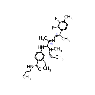 C/C=C\N(C)C(Nc1ccc(C(=O)NCCC)c(CC)c1)/C(C)=N/C=C(\C)c1ccc(C)c(F)c1F